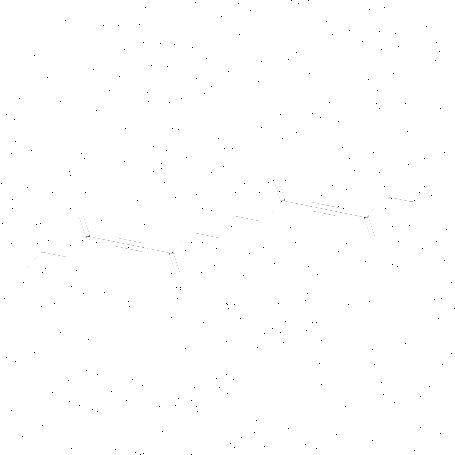 CCOC(=O)C#CC(=O)OCCOC(=O)C#CC(=O)OCC